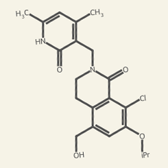 Cc1cc(C)c(CN2CCc3c(CO)cc(OC(C)C)c(Cl)c3C2=O)c(=O)[nH]1